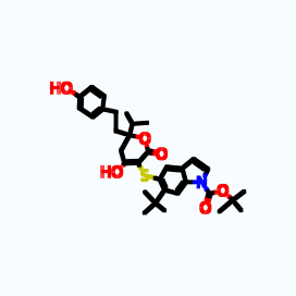 CC(C)C1(CCc2ccc(O)cc2)CC(O)=C(Sc2cc3ccn(C(=O)OC(C)(C)C)c3cc2C(C)(C)C)C(=O)O1